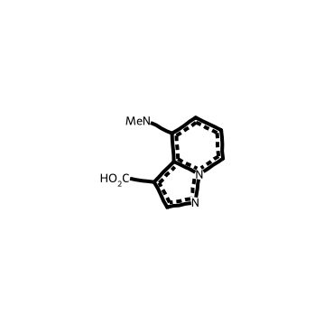 CNc1cccn2ncc(C(=O)O)c12